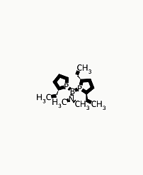 CC[C@@H]1CCCP1B(N(C)C)P1[C@H](CC)CC[C@H]1CC